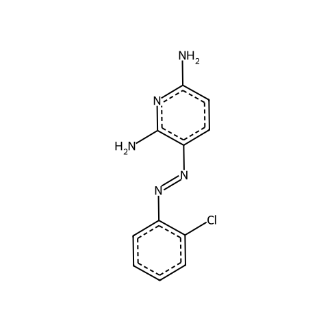 Nc1ccc(N=Nc2ccccc2Cl)c(N)n1